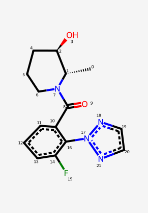 C[C@H]1[C@H](O)CCCN1C(=O)c1cccc(F)c1-n1nccn1